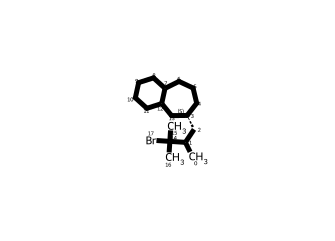 CC(C[C@H]1CCCC2CCCCC2C1)C(C)(C)Br